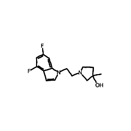 CC1(O)CCN(CCn2ccc3c(F)cc(F)cc32)C1